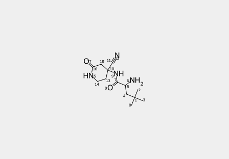 CC(C)(C)CC(N)C(=O)NC1(C#N)CCNC(=O)C1